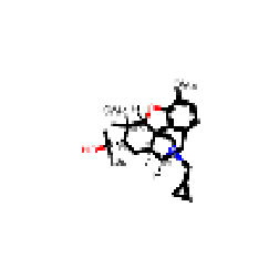 COc1ccc2c3c1O[C@@H]1C34CCN(CC3CC3)[C@H](C2)[C@@]4(C)C[C@H](C(C)(O)C(C)(C)C)[C@@]1(C)OC